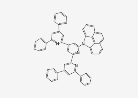 c1ccc(-c2cc(-c3ccccc3)nc(-c3cc(-c4cc(-c5ccccc5)cc(-c5ccccc5)n4)nc(-n4c5cccc6ccc7cccc4c7c65)c3)c2)cc1